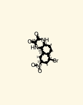 O=c1[nH]c2ccc3c(Br)cc([N+](=O)[O-])cc3c2[nH]c1=O